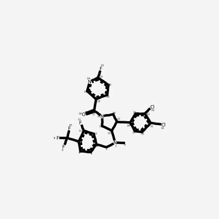 CN(Cc1ccc(C(F)(F)F)c(F)c1)C1CN(C(=O)c2ccc(F)nc2)CC1c1ccc(Cl)c(Cl)c1